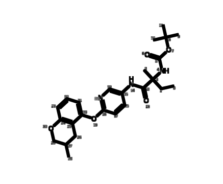 CCC(C)(NC(=O)OC(C)(C)C)C(=O)Nc1ccc(Oc2cccc3c2CC(C)CO3)nc1